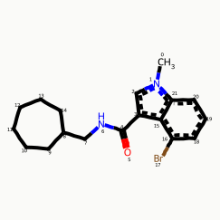 Cn1cc(C(=O)NCC2CCCCCC2)c2c(Br)cccc21